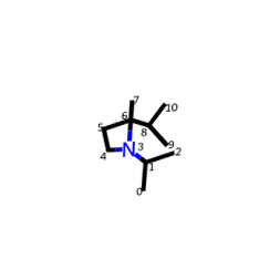 CC(C)N1CCC1(C)C(C)C